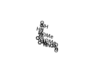 COc1nc(-c2cccc(-c3cccc(-c4cnc(CNC5CCN(C(=O)c6ccoc6)CC5)c(OC)n4)c3Cl)c2Cl)cnc1CNC[C@@H]1CCC(=O)N1